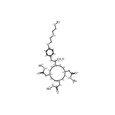 CCOCCOCCOc1ccc(CC(C(=O)O)N2CCN(CC(=O)OC(C)(C)C)CCN(CC(=O)OC(C)(C)C)CCN(CC(=O)OC(C)(C)C)CC2)cc1